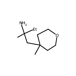 CCC(C)(N)CC1(C)CCOCC1